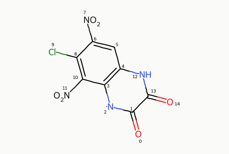 O=C1[N]c2c(cc([N+](=O)[O-])c(Cl)c2[N+](=O)[O-])NC1=O